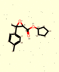 Cc1ccc(C2(C)OC2C(=O)OC2CCCC2)cc1